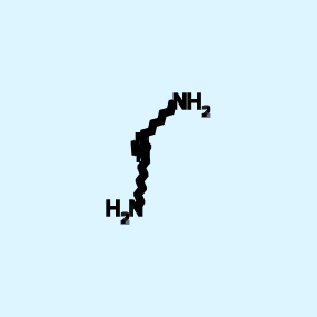 NCCCCCCCN1C=CN(CCCCCCCN)C1